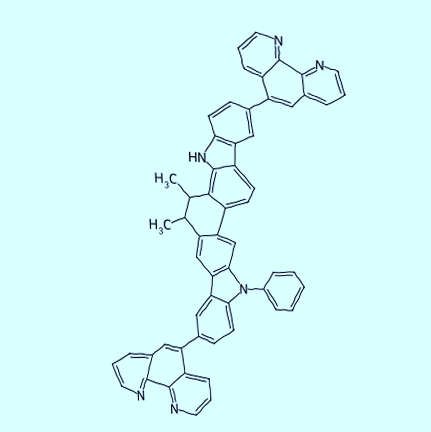 CC1c2cc3c4cc(-c5cc6cccnc6c6ncccc56)ccc4n(-c4ccccc4)c3cc2-c2ccc3c([nH]c4ccc(-c5cc6cccnc6c6ncccc56)cc43)c2C1C